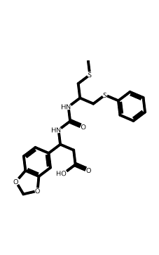 CSCC(CSc1ccccc1)NC(=O)NC(CC(=O)O)c1ccc2c(c1)OCO2